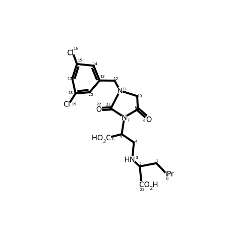 CC(C)CC(NCC(C(=O)O)N1C(=O)CN(Cc2cc(Cl)cc(Cl)c2)C1=O)C(=O)O